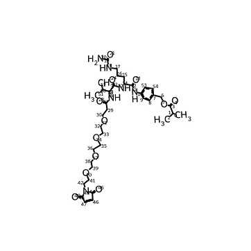 CC(C)C(=O)OCc1ccc(NC(=O)C(CCCNC(N)=O)NC(=O)[C@@H](NC(=O)CCOCCOCCOCCOCCN2C(=O)C=CC2=O)C(C)C)cc1